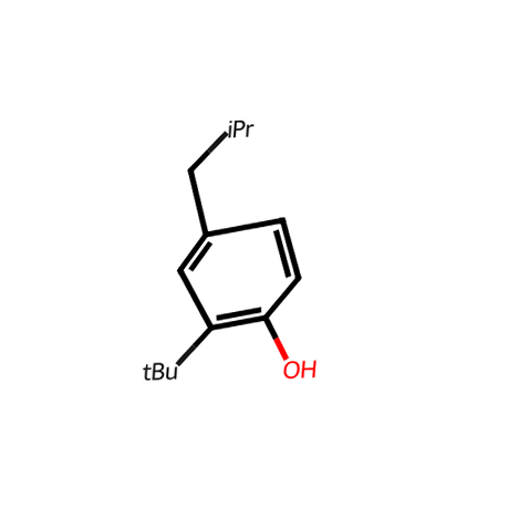 CC(C)Cc1ccc(O)c(C(C)(C)C)c1